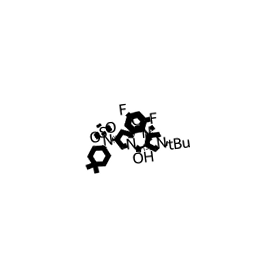 CN(C)C(=O)[C@@H]1C[C@H](N(C2CCC(C)(C)CC2)S(C)(=O)=O)CN1C(O)[C@@H]1CN(C(C)(C)C)C[C@H]1c1ccc(F)cc1F